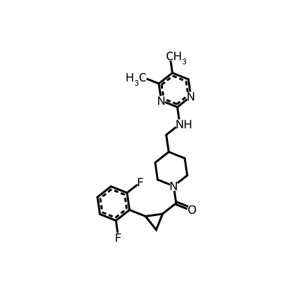 Cc1cnc(NCC2CCN(C(=O)C3CC3c3c(F)cccc3F)CC2)nc1C